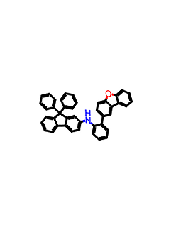 c1ccc(C2(c3ccccc3)c3ccccc3-c3ccc(Nc4ccccc4-c4ccc5oc6ccccc6c5c4)cc32)cc1